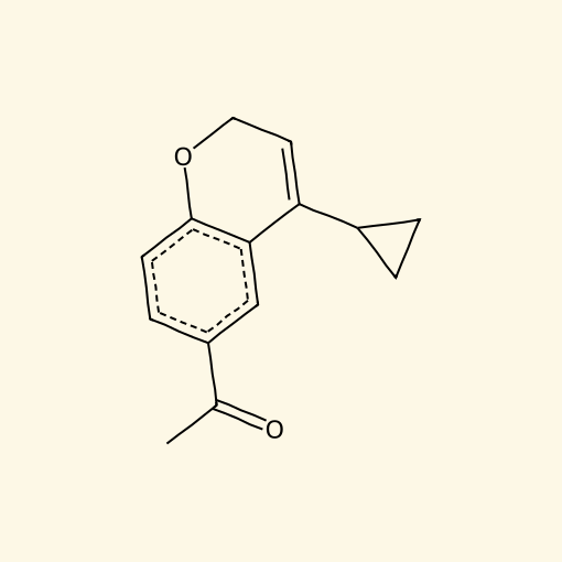 CC(=O)c1ccc2c(c1)C(C1CC1)=CCO2